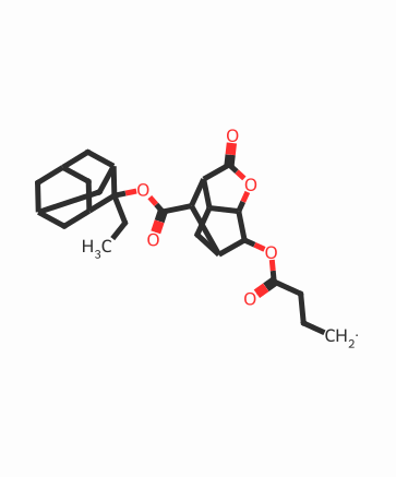 [CH2]CCC(=O)OC1C2CC3C1OC(=O)C3C2C(=O)OC1(CC)C2CC3CC(C2)CC1C3